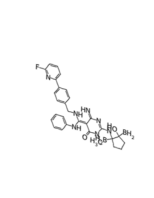 BC1(O)CCCC1(B)NC1=NC(=N)/C(=C(\NCc2ccc(-c3cccc(F)n3)cc2)Nc2ccccc2)C(=O)N1C